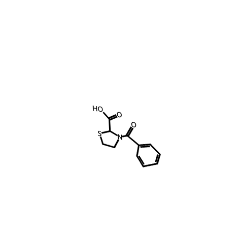 O=C(O)C1SCCN1C(=O)c1ccccc1